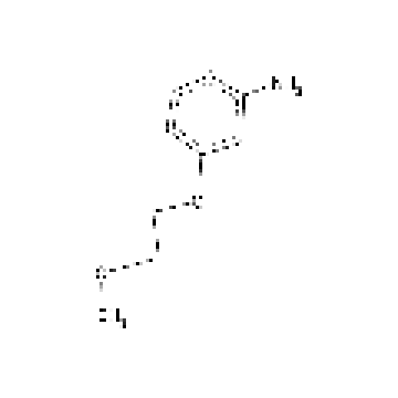 COCCOc1cc[c]c(N)c1